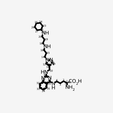 N[C@@H](CCCNc1nc(NCc2cn(CCCNCCCNC3CCCCC3)nn2)nc2ccccc12)C(=O)O